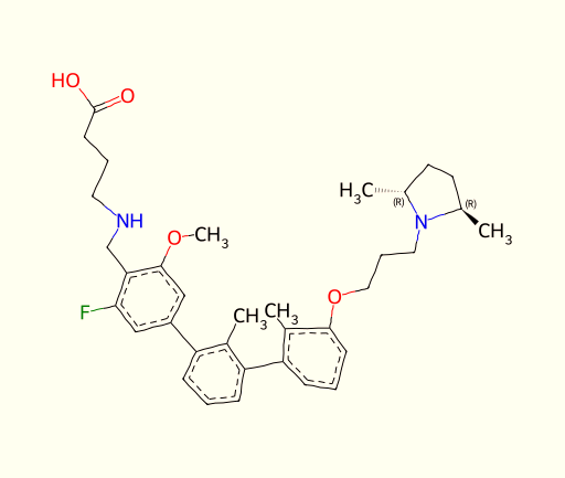 COc1cc(-c2cccc(-c3cccc(OCCCN4[C@H](C)CC[C@H]4C)c3C)c2C)cc(F)c1CNCCCC(=O)O